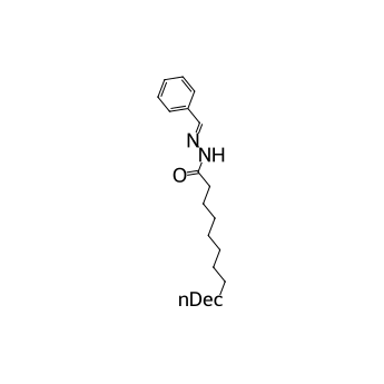 CCCCCCCCCCCCCCCCCC(=O)NN=Cc1ccccc1